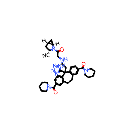 N#C[C@@H]1C[C@@H]2C[C@@H]2N1C(=O)CNCCC1(c2nnn[nH]2)c2ccc(C(=O)N3CCCCC3)cc2CCc2cc(C(=O)N3CCCCC3)ccc21